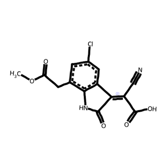 COC(=O)Cc1cc(Cl)cc2c1NC(=O)/C2=C(/C#N)C(=O)O